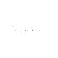 O=C(NI)N1CCC(c2ccc(CN3CCNCC3)cc2)CC1